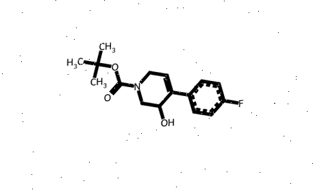 CC(C)(C)OC(=O)N1CC=C(c2ccc(F)cc2)C(O)C1